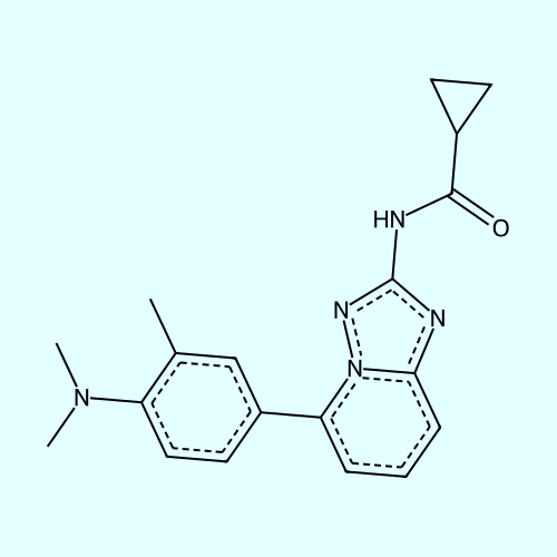 Cc1cc(-c2cccc3nc(NC(=O)C4CC4)nn23)ccc1N(C)C